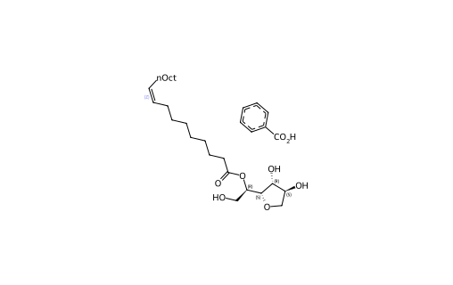 CCCCCCCC/C=C\CCCCCCCC(=O)O[C@H](CO)[C@H]1OC[C@H](O)[C@H]1O.O=C(O)c1ccccc1